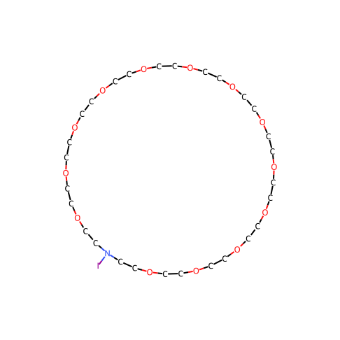 IN1CCOCCOCCOCCOCCOCCOCCOCCOCCOCCOCCOCCOCCOCC1